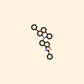 c1ccc(-c2ccc(N(c3ccccc3-c3ccccc3)c3cccc4c3ccc3oc(-c5ccccc5)nc34)cc2)cc1